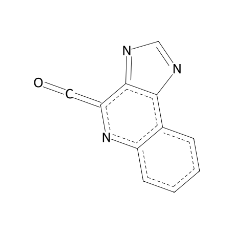 O=C=c1nc2ccccc2c2c1=NC=N2